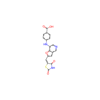 O=C1NC(=O)/C(=C\c2cc3cncc(Nc4ccc(C(=O)O)cc4)c3o2)S1